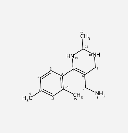 Cc1ccc(C2=C(CN)CNC(C)N2)c(C)c1